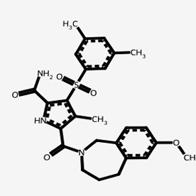 COc1ccc2c(c1)CCCN(C(=O)c1[nH]c(C(N)=O)c(S(=O)(=O)c3cc(C)cc(C)c3)c1C)C2